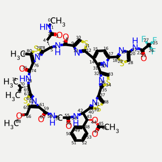 CNC(=O)C[C@@H]1NC(=O)c2csc(n2)-c2ccc(-c3nc(NC(=O)C(F)(F)F)cs3)nc2-c2csc(n2)-c2csc(n2)C([C@@H](OC(C)=O)c2ccccc2)NC(=O)CNC(=O)c2nc(sc2COC)[C@H](C(C)C)NC(=O)c2nc1sc2C